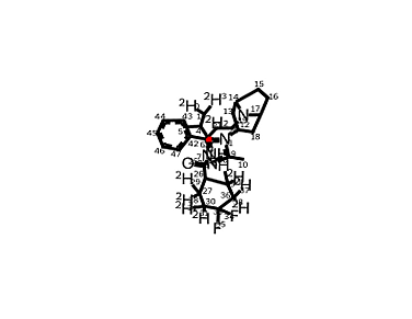 [2H]C([2H])([2H])C(C)c1nnc(C)n1C1CC2CCC(C1)N2CCC(NC(=O)C1C([2H])([2H])C([2H])([2H])C(F)(F)C([2H])([2H])C1([2H])[2H])c1ccccc1